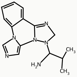 CC(C)C(N)N1CN=C2c3ccccc3-n3cncc3N21